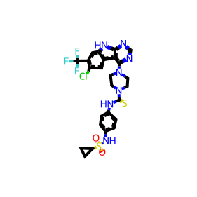 O=S(=O)(Nc1ccc(NC(=S)N2CCN(c3ncnc4[nH]c5cc(C(F)(F)F)c(Cl)cc5c34)CC2)cc1)C1CC1